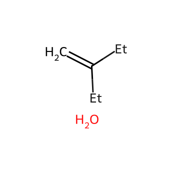 C=C(CC)CC.O